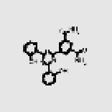 NC(=O)c1cc(C(N)=O)cc(-c2nc(-c3ccccc3O)nc(-c3ccccc3O)n2)c1